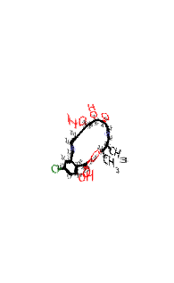 C[C@@H]1/C=C\C(=O)[C@@H](O)[C@@H](O)C/C=C/c2cc(Cl)cc(O)c2C(=O)O[C@H]1C